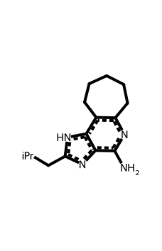 CC(C)Cc1nc2c(N)nc3c(c2[nH]1)CCCCC3